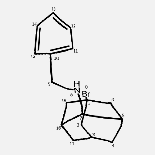 BrC12CC3CC(C1)C(NCc1ccccc1)C(C3)C2